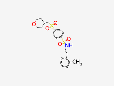 Cc1ccccc1CCNS(=O)(=O)c1ccc(S(=O)(=O)CC2CCOCC2)cc1